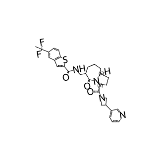 CC(F)(F)c1ccc2sc(C(=O)NCC3CCC[C@H]4CC[C@@H](C(=O)N5CC(c6cccnc6)C5)N4C3=O)cc2c1